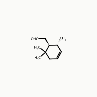 C[C@@H]1C=CCC(C)(C)[C@H]1CC=O